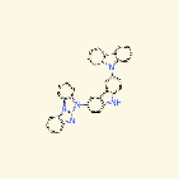 c1ccc2c(c1)nc1n(-c3ccc4[nH]c5ccc(-n6c7ccccc7c7ccccc76)cc5c4c3)c3ccccc3n21